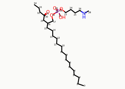 CCCCCCCCCCCCCCCCC(COP(=O)(O)OCCCCNC)CC(=O)CCC